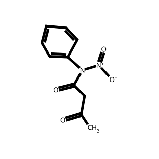 CC(=O)CC(=O)N(c1ccccc1)[N+](=O)[O-]